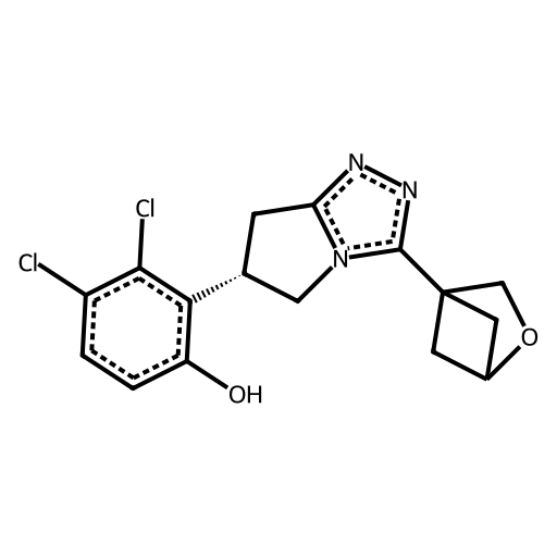 Oc1ccc(Cl)c(Cl)c1[C@@H]1Cc2nnc(C34COC(C3)C4)n2C1